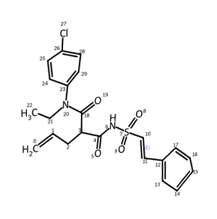 C=CCC(C(=O)NS(=O)(=O)/C=C/c1ccccc1)C(=O)N(CC)c1ccc(Cl)cc1